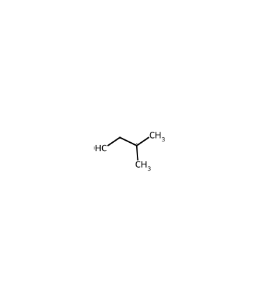 [CH]C[C](C)C